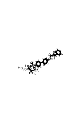 O=C([AsH]c1ccc(-c2ccc(S(=O)(=O)N[C@H](C(=O)O)C(C(F)(F)F)C(F)(F)F)cc2)cc1)c1cc2ccccc2o1